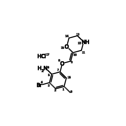 Cc1cc(Br)c(N)c(OC=C2CNCCO2)c1.Cl